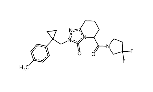 Cc1ccc(C2(Cn3nc4n(c3=O)C(C(=O)N3CCC(F)(F)C3)CCC4)CC2)cc1